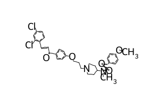 COc1ccc(S(=O)(=O)N(C)C2CCN(CCCOc3ccc(C(=O)/C=C/c4ccc(Cl)cc4Cl)cc3)CC2)cc1